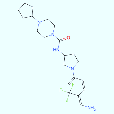 C=C(/C=C\C(=C/N)C(F)(F)F)N1CCC(NC(=O)N2CCN(C3CCCC3)CC2)C1